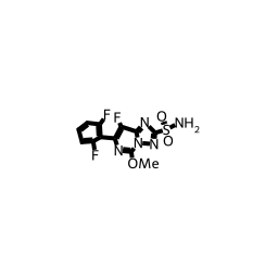 COc1nc(-c2c(F)cccc2F)c(F)c2nc(S(N)(=O)=O)nn12